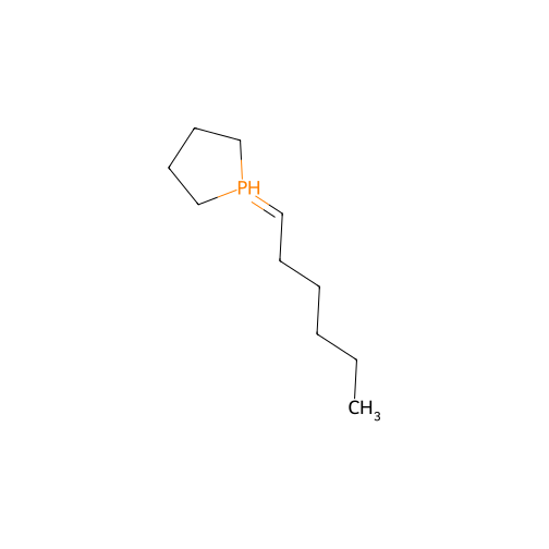 CCCCCC=[PH]1CCCC1